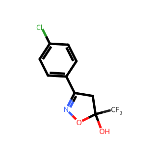 OC1(C(F)(F)F)CC(c2ccc(Cl)cc2)=NO1